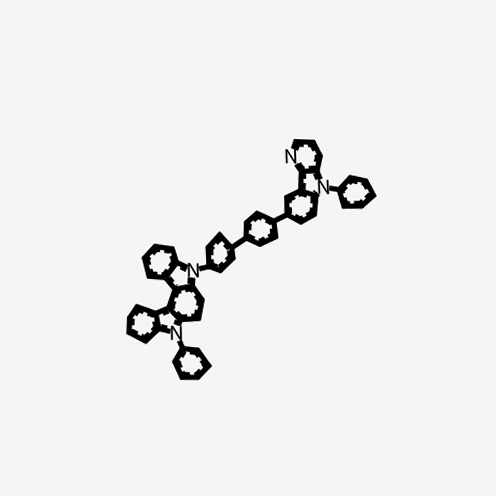 c1ccc(-n2c3ccc(-c4ccc(-c5ccc(-n6c7ccccc7c7c8c9ccccc9n(-c9ccccc9)c8ccc76)cc5)cc4)cc3c3ncccc32)cc1